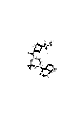 CNS(=O)(=O)c1c[nH]c(C(=O)N2CCN(c3ncnc4[nH]ccc34)CC3(CC3)C2)c1